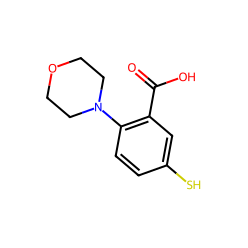 O=C(O)c1cc(S)ccc1N1CCOCC1